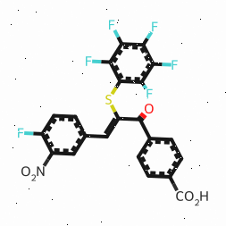 O=C(O)c1ccc(C(=O)C(=Cc2ccc(F)c([N+](=O)[O-])c2)Sc2c(F)c(F)c(F)c(F)c2F)cc1